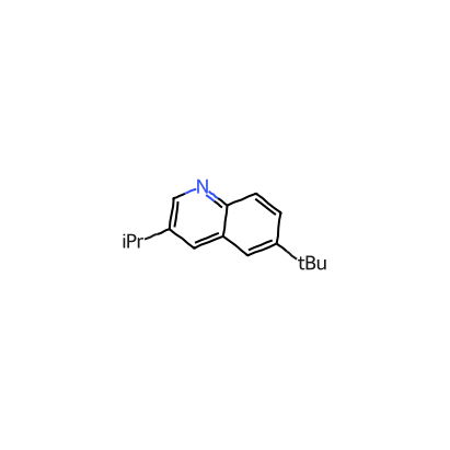 CC(C)c1cnc2ccc(C(C)(C)C)cc2c1